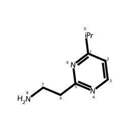 CC(C)c1ccnc(CCN)n1